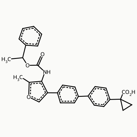 Cc1occ(-c2ccc(-c3ccc(C4(C(=O)O)CC4)cc3)cc2)c1NC(=O)OC(C)c1ccccc1